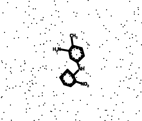 Cc1ccc(Nc2ccccc2[N+](=O)[O-])cc1N